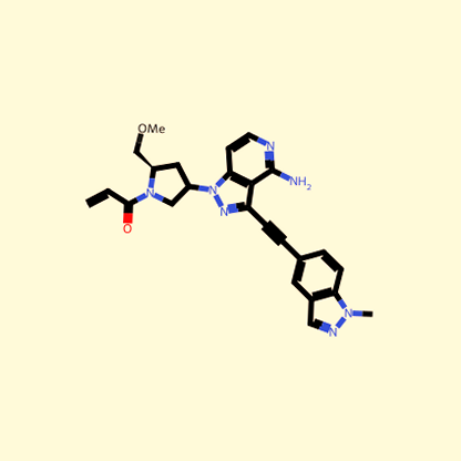 C=CC(=O)N1CC(n2nc(C#Cc3ccc4c(cnn4C)c3)c3c(N)nccc32)C[C@@H]1COC